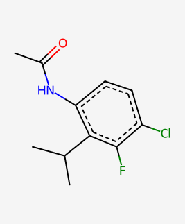 CC(=O)Nc1ccc(Cl)c(F)c1C(C)C